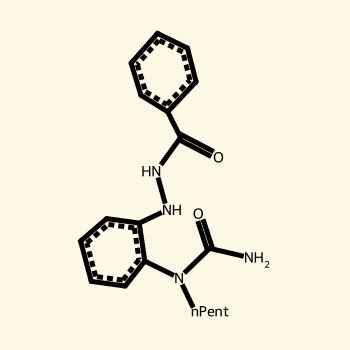 CCCCCN(C(N)=O)c1ccccc1NNC(=O)c1ccccc1